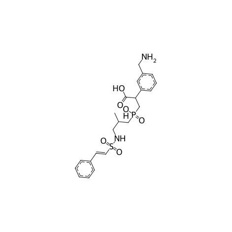 CC(CNS(=O)(=O)C=Cc1ccccc1)CP(=O)(O)CC(C(=O)O)c1cccc(CN)c1